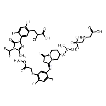 COC(=O)CSc1cc(/N=c2\sc(=O)n3n2CCCC3)c(F)cc1Cl.C[S+](C)C.Cc1nn(-c2cc(CC(Cl)C(=O)O)c(Cl)cc2F)c(=O)n1C(F)F.O=C(O)CNCP(=O)([O-])O